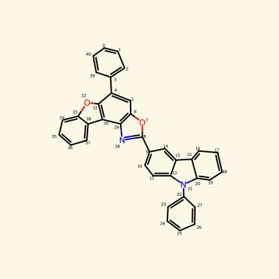 c1ccc(-c2cc3oc(-c4ccc5c(c4)c4ccccc4n5-c4ccccc4)nc3c3c2oc2ccccc23)cc1